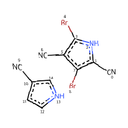 N#Cc1[nH]c(Br)c(C#N)c1Br.N#Cc1cc[nH]c1